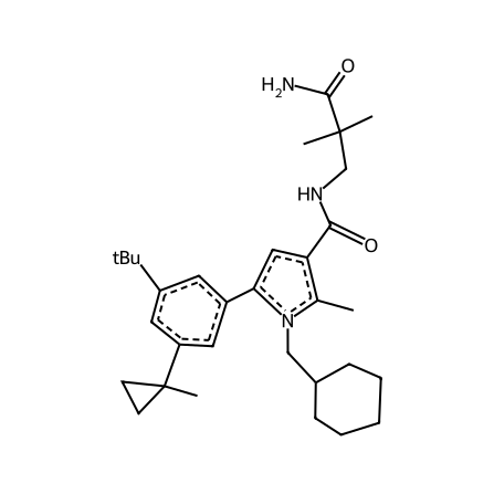 Cc1c(C(=O)NCC(C)(C)C(N)=O)cc(-c2cc(C(C)(C)C)cc(C3(C)CC3)c2)n1CC1CCCCC1